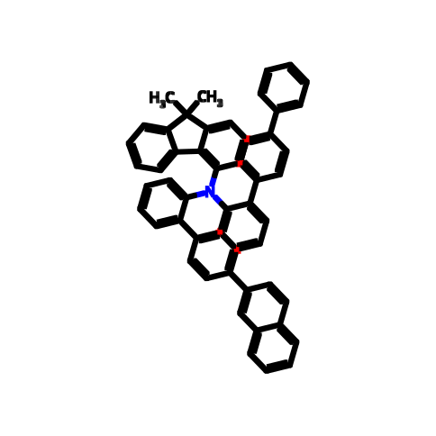 CC1(C)c2ccccc2-c2c(N(c3ccccc3-c3ccc(-c4ccccc4)cc3)c3ccccc3-c3ccc(-c4ccc5ccccc5c4)cc3)cccc21